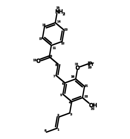 CC=CCc1cc(C=CC(=O)c2ccc(N)cc2)c(OC(C)C)cc1O